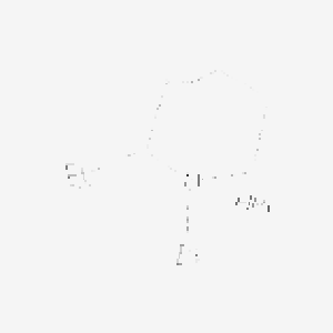 Br.CCC1CCCCN1CC